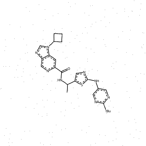 CC(NC(=O)c1cc2c(cn1)ncn2C1CCC1)c1cnc(Nc2cnc(C(C)(C)C)nc2)s1